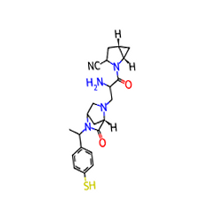 CC(c1ccc(S)cc1)N1C(=O)[C@@H]2CC1CN2CC(N)C(=O)N1C(C#N)C[C@@H]2C[C@@H]21